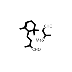 CC1=CCCC(C)(C)C1CCC(C)C=O.CSC(C)CC=O